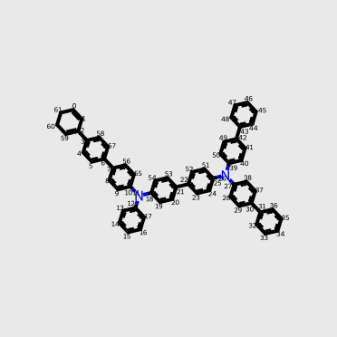 C1=CC(c2ccc(-c3ccc(N(c4ccccc4)c4ccc(-c5ccc(N(c6ccc(-c7ccccc7)cc6)c6ccc(-c7ccccc7)cc6)cc5)cc4)cc3)cc2)=CCC1